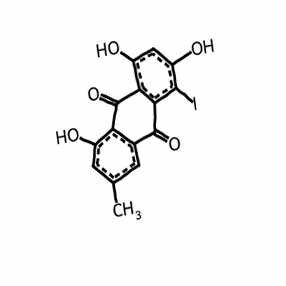 Cc1cc(O)c2c(c1)C(=O)c1c(I)c(O)cc(O)c1C2=O